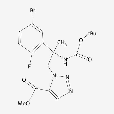 COC(=O)c1cnnn1CC(C)(NC(=O)OC(C)(C)C)c1cc(Br)ccc1F